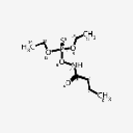 CCCC(=O)NOP(=S)(OCC)OCC